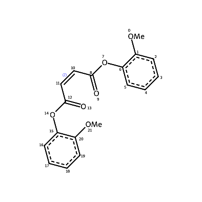 COc1ccccc1OC(=O)/C=C\C(=O)Oc1ccccc1OC